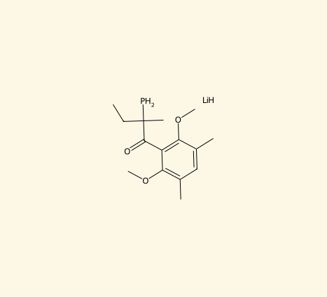 CCC(C)(P)C(=O)c1c(OC)c(C)cc(C)c1OC.[LiH]